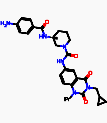 CC(C)n1c(=O)n(CC2CC2)c(=O)c2cc(NC(=O)N3CCC[C@@H](NC(=O)c4ccc(N)cc4)C3)ccc21